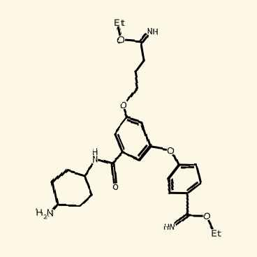 CCOC(=N)CCCOc1cc(Oc2ccc(C(=N)OCC)cc2)cc(C(=O)NC2CCC(N)CC2)c1